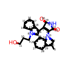 Cc1cn(C2=C(c3cn(CCCO)c4ccccc34)C(=O)NC2=O)c2ccccc12